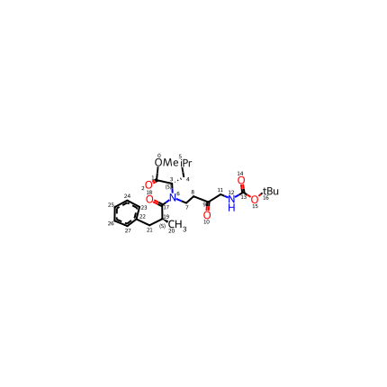 COC(=O)[C@H](CC(C)C)N(CCC(=O)CNC(=O)OC(C)(C)C)C(=O)[C@@H](C)Cc1ccccc1